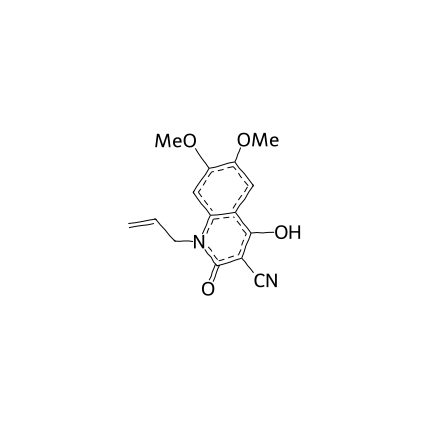 C=CCn1c(=O)c(C#N)c(O)c2cc(OC)c(OC)cc21